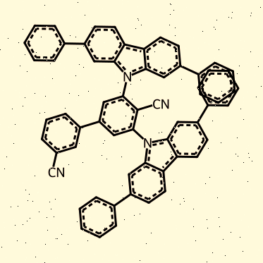 N#Cc1cccc(-c2cc(-n3c4cc(-c5ccccc5)ccc4c4ccc(-c5ccccc5)cc43)c(C#N)c(-n3c4cc(-c5ccccc5)ccc4c4ccc(-c5ccccc5)cc43)c2)c1